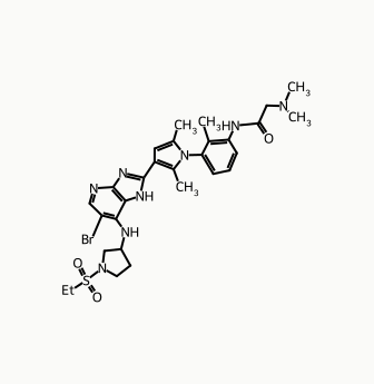 CCS(=O)(=O)N1CCC(Nc2c(Br)cnc3nc(-c4cc(C)n(-c5cccc(NC(=O)CN(C)C)c5C)c4C)[nH]c23)C1